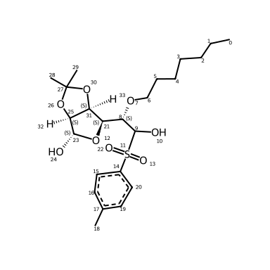 CCCCCCCO[C@H](C(O)S(=O)(=O)c1ccc(C)cc1)[C@H]1O[C@H](O)[C@H]2OC(C)(C)O[C@@H]12